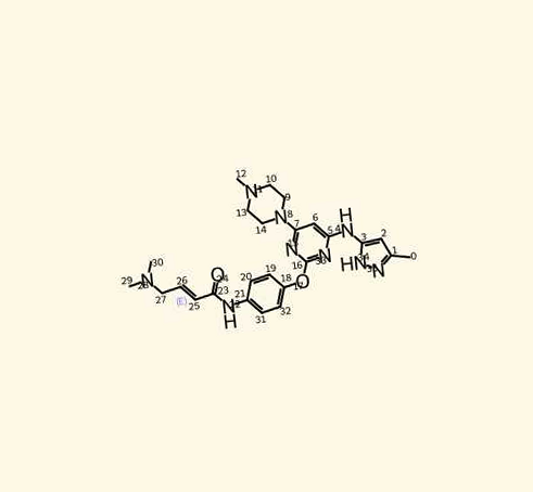 Cc1cc(Nc2cc(N3CCN(C)CC3)nc(Oc3ccc(NC(=O)/C=C/CN(C)C)cc3)n2)[nH]n1